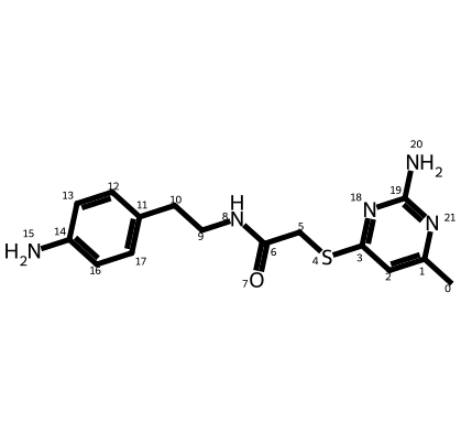 Cc1cc(SCC(=O)NCCc2ccc(N)cc2)nc(N)n1